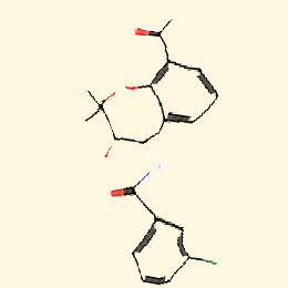 CC(=O)c1cccc2c1OC(C)(C)[C@H](O)[C@H]2NC(=O)c1cccc(Cl)c1